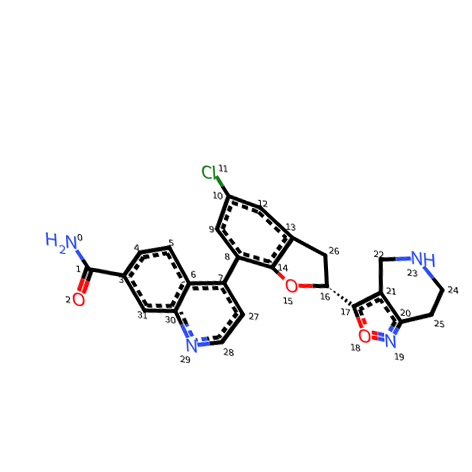 NC(=O)c1ccc2c(-c3cc(Cl)cc4c3O[C@@H](c3onc5c3CNCC5)C4)ccnc2c1